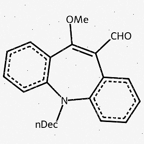 CCCCCCCCCCN1c2ccccc2C(C=O)=C(OC)c2ccccc21